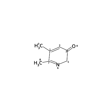 CC1=CC(=O)CN=C1C